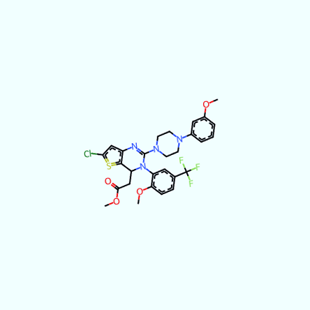 COC(=O)CC1c2sc(Cl)cc2N=C(N2CCN(c3cccc(OC)c3)CC2)N1c1cc(C(F)(F)F)ccc1OC